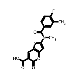 Cc1cc(C(=O)N(C)c2cc3oc(=O)c(C(=O)O)cc3s2)ccc1F